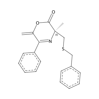 C=C1OC(=O)[C@@](C)(CSCc2ccccc2)N=C1c1ccccc1